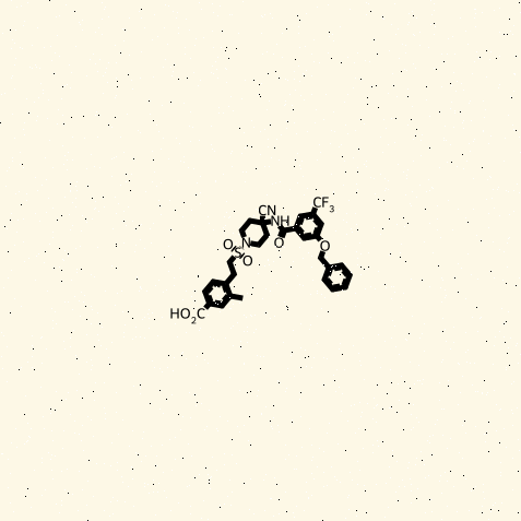 Cc1cc(C(=O)O)ccc1CCS(=O)(=O)N1CCC(C#N)(NC(=O)c2cc(OCc3ccccc3)cc(C(F)(F)F)c2)CC1